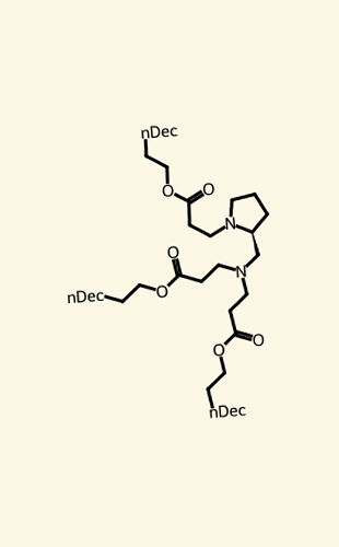 CCCCCCCCCCCCOC(=O)CCN(CCC(=O)OCCCCCCCCCCCC)C[C@@H]1CCCN1CCC(=O)OCCCCCCCCCCCC